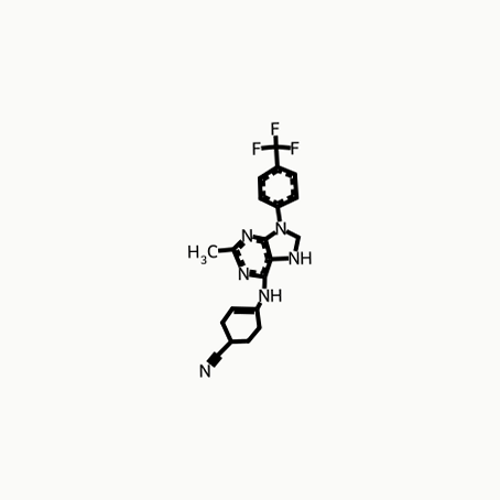 Cc1nc(NC2=CCC(C#N)CC2)c2c(n1)N(c1ccc(C(F)(F)F)cc1)CN2